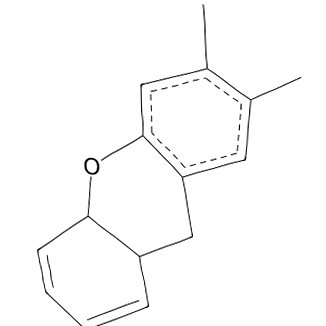 Cc1cc2c(cc1C)OC1C=CC=CC1C2